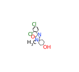 CN(C(=O)Cc1ccc(Cl)cc1Cl)C1(C#N)CCC(O)CC1